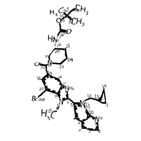 Cn1c(-c2cc3cccnc3n2CC2CC2)nc2cc(C(=O)N3CCC[C@@H](NC(=O)OC(C)(C)C)C3)cc(Br)c21